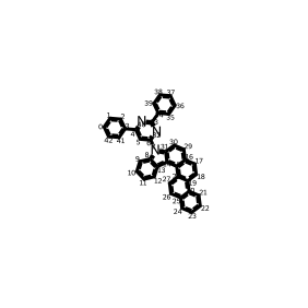 c1ccc(-c2cc(-n3c4ccccc4c4c5c(ccc6c7ccccc7ccc65)ccc43)nc(-c3ccccc3)n2)cc1